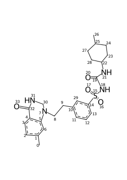 Cc1ccc2c(c1)N(CCc1cccc(S(=O)(=O)NC(=O)NC3CCC(C)CC3)c1)CNC2=O